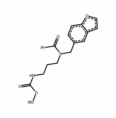 CC(C)C(=O)N(CCCNC(=O)OC(C)(C)C)Cc1ccc2occc2c1